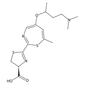 CC1=CC(OC(C)CCN(C)C)=CN=C(C2=N[C@@H](C(=O)O)CS2)S1